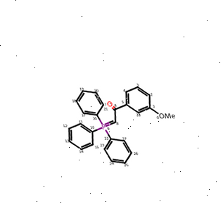 COc1cccc(C(=O)C=P(c2ccccc2)(c2ccccc2)c2ccccc2)c1